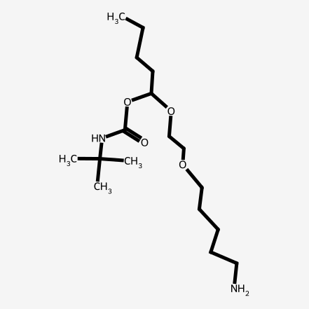 CCCCC(OCCOCCCCCN)OC(=O)NC(C)(C)C